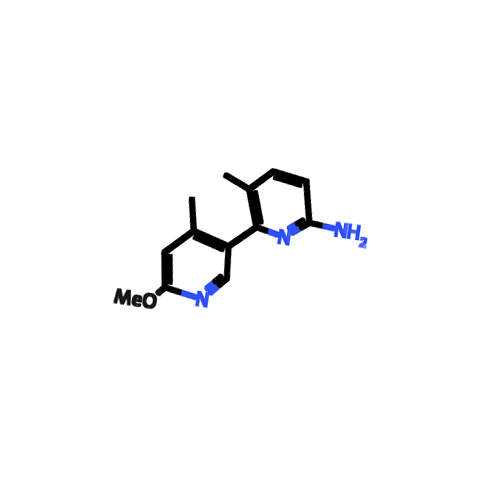 COc1cc(C)c(-c2nc(N)ccc2C)cn1